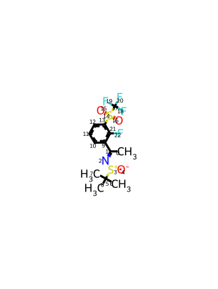 C/C(=N\[S@@+]([O-])C(C)(C)C)c1cccc(S(=O)(=O)C(F)(F)F)c1F